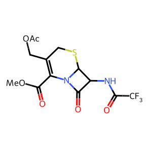 COC(=O)C1=C(COC(C)=O)CSC2C(NC(=O)C(F)(F)F)C(=O)N12